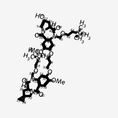 COc1cc2c(cc1OCCCOc1cc3c(cc1OC)C(=O)N1CC4(CC4)C[C@H]1C(=O)N3COCC[Si](C)(C)C)N(COCC[Si](C)(C)C)C(=O)[C@@H]1CC(O)=CN1C2=O